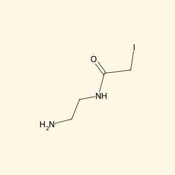 NCCNC(=O)CI